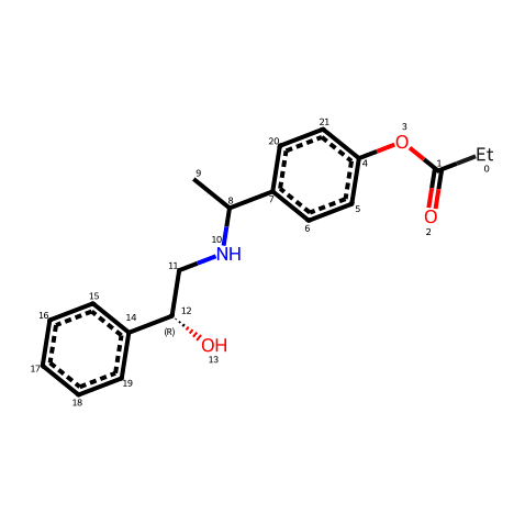 CCC(=O)Oc1ccc(C(C)NC[C@H](O)c2ccccc2)cc1